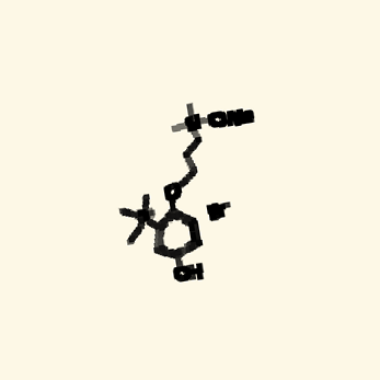 CO[Si](C)(C)CCCOc1ccc(O)cc1[P+](C)(C)C.[Br-]